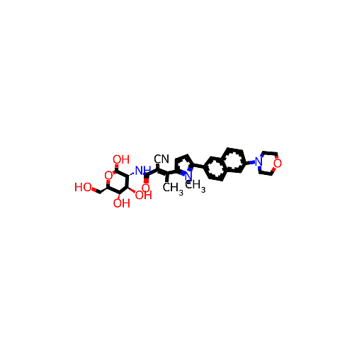 C/C(=C(/C#N)C(=O)N[C@H]1C(O)O[C@H](CO)[C@@H](O)[C@@H]1O)c1ccc(-c2ccc3cc(N4CCOCC4)ccc3c2)n1C